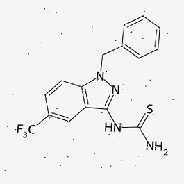 NC(=S)Nc1nn(Cc2ccccc2)c2ccc(C(F)(F)F)cc12